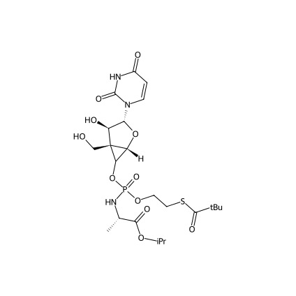 CC(C)OC(=O)[C@H](C)NP(=O)(OCCSC(=O)C(C)(C)C)OC1[C@H]2O[C@@H](n3ccc(=O)[nH]c3=O)[C@H](O)[C@@]12CO